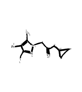 Cc1c(C(C)C)c(I)nn1CC(=O)CC1CC1